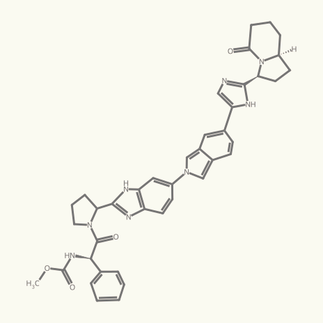 COC(=O)N[C@@H](C(=O)N1CCCC1c1nc2ccc(-n3cc4ccc(-c5cnc([C@@H]6CC[C@@H]7CCCC(=O)N76)[nH]5)cc4c3)cc2[nH]1)c1ccccc1